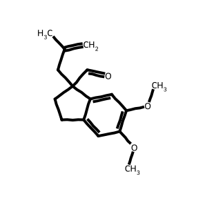 C=C(C)CC1(C=O)CCc2cc(OC)c(OC)cc21